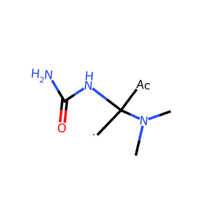 [CH2]C(NC(N)=O)(C(C)=O)N(C)C